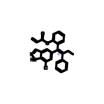 C=CC(=O)Oc1ccccc1/C(=C(\CC)c1ccccc1)c1cc(Cl)c2[nH]ncc2c1